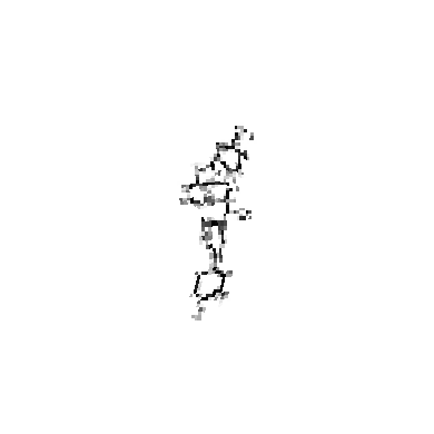 CC[C@H](c1cn(-c2ccc(F)c(F)c2)nn1)c1cc(-c2cnc(C(F)(F)F)nc2)c2c(N)ncnn12